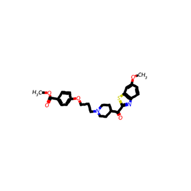 COC(=O)c1ccc(OCCCN2CCC(C(=O)c3nc4ccc(OC)cc4s3)CC2)cc1